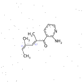 C/C=C(C)\C=C(/C)C(=O)c1cccnc1N